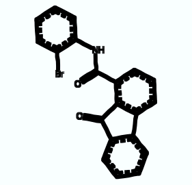 O=C(Nc1ccccc1Br)c1cccc2c1C(=O)c1ccccc1-2